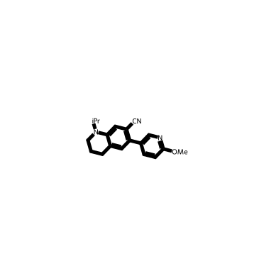 COc1ccc(-c2cc3c(cc2C#N)N(C(C)C)CCC3)cn1